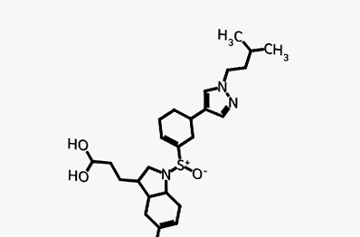 CC(C)CCn1cc(C2CCC=C([S+]([O-])N3CC(CCC(O)O)C4CC(F)=CCC43)C2)cn1